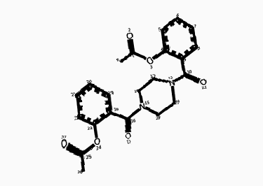 CC(=O)Oc1ccccc1C(=O)N1CCN(C(=O)c2ccccc2OC(C)=O)CC1